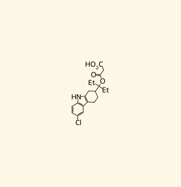 CCC(CC)(OC(=O)CC(=O)O)C1CCc2c([nH]c3ccc(Cl)cc23)C1